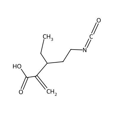 C=C(C(=O)O)C(CC)CCN=C=O